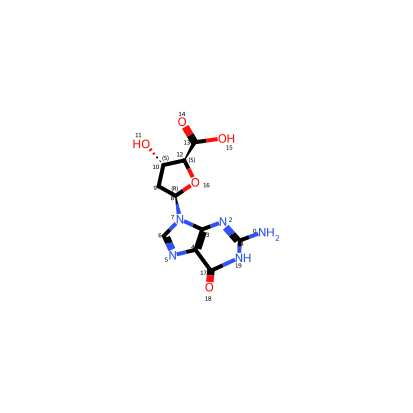 Nc1nc2c(ncn2[C@H]2C[C@H](O)[C@@H](C(=O)O)O2)c(=O)[nH]1